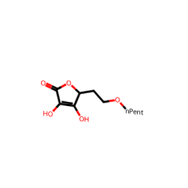 CCCCCOCCC1OC(=O)C(O)=C1O